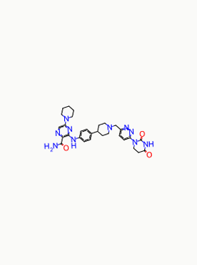 NC(=O)c1ncc(N2CCCCC2)nc1Nc1ccc(C2CCN(Cc3ccc(N4CCC(=O)NC4=O)nn3)CC2)cc1